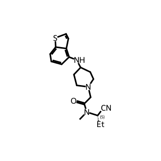 CC[C@@H](C#N)N(C)C(=O)CN1CCC(Nc2cccc3sccc23)CC1